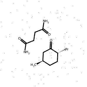 CC(C)[C@@H]1CC[C@@H](C)CC1=O.NC(=O)CCC(N)=O